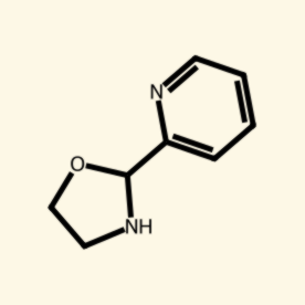 c1ccc(C2NCCO2)nc1